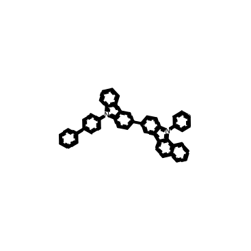 c1ccc(-c2ccc(-n3c4ccccc4c4cc(-c5ccc6c(c5)c5ccc7ccccc7c5n6-c5ccccc5)ccc43)cc2)cc1